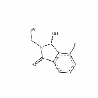 CC(C)CN1C(=O)c2cccc(F)c2C1O